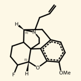 C=CCN1CCC23c4c5ccc(OC)c4O[C@@H]2C(F)CCC3[C@@H]1C5